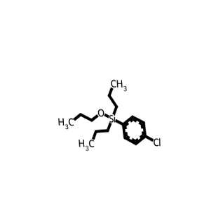 CCCO[Si](CCC)(CCC)c1ccc(Cl)cc1